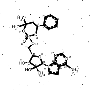 CC1(C)C[C@@H](c2ccccc2)O[P@@](=O)(OC[C@H]2O[C@@H](n3ccc4c(N)ncnc43)[C@](C)(O)[C@@H]2O)O1